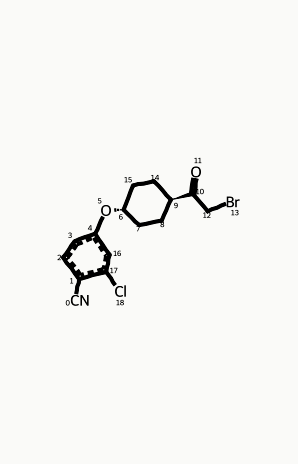 N#Cc1ccc(O[C@H]2CC[C@H](C(=O)CBr)CC2)cc1Cl